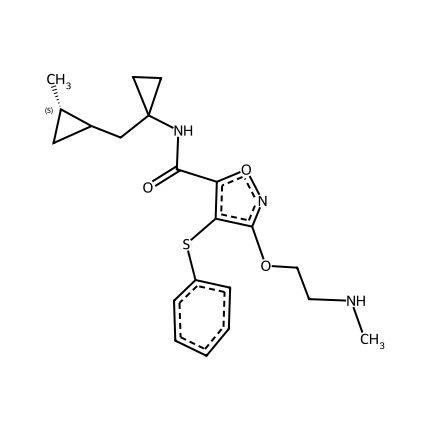 CNCCOc1noc(C(=O)NC2(CC3C[C@@H]3C)CC2)c1Sc1ccccc1